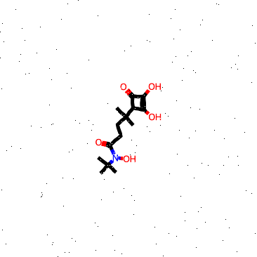 CC(C)(CCC(=O)N(O)C(C)(C)C)C1C(=O)C(O)=C1O